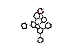 c1ccc(-c2cc(-c3ccccc3)c3c(c2)c2cc(-c4ccccc4)cc(-c4ccccc4)c2n3-c2cccc(-c3cccnc3)n2)cc1